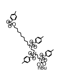 CCCCOC(=O)N(CCN(CCN(CCCCCCCCCOS(=O)(=O)c1ccc(C)cc1)S(=O)(=O)c1ccc(C)cc1)S(=O)(=O)c1ccc(C)cc1)S(=O)(=O)c1ccc(C)cc1